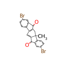 CC12CC3=C(C=C1C(=O)c1cc(Br)ccc12)c1ccc(Br)cc1C3=O